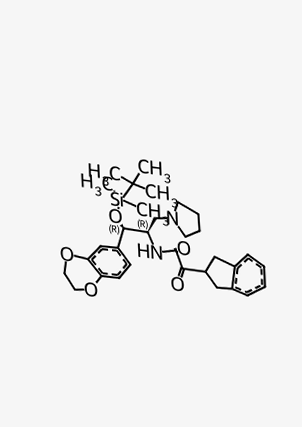 CC(C)(C)[Si](C)(C)O[C@H](c1ccc2c(c1)OCCO2)[C@@H](CN1CCCC1)NC(=O)C(=O)C1Cc2ccccc2C1